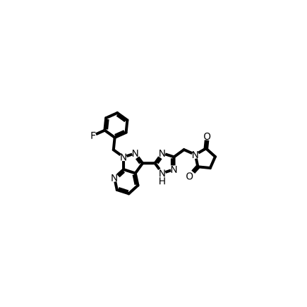 O=C1CCC(=O)N1Cc1n[nH]c(-c2nn(Cc3ccccc3F)c3ncccc23)n1